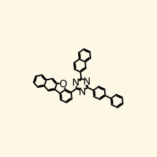 c1ccc(-c2ccc(-c3nc(-c4ccc5ccccc5c4)nc(-c4cccc5c4oc4cc6ccccc6cc45)n3)cc2)cc1